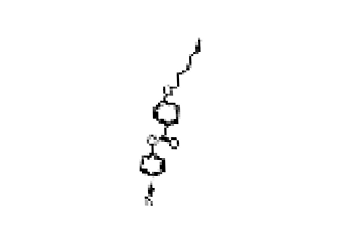 C=CCCCCOc1ccc(C(=O)Oc2ccc(C#N)cc2)cc1